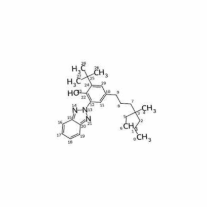 CCCC(C)(CC)CCCc1cc(-n2nc3ccccc3n2)c(O)c(C(C)(C)C)c1